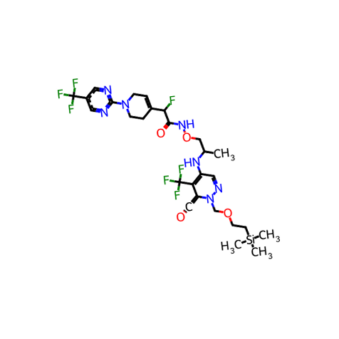 CC(CONC(=O)C(F)C1=CCN(c2ncc(C(F)(F)F)cn2)CC1)NC1=C(C(F)(F)F)C(=C=O)N(COCC[Si](C)(C)C)N=C1